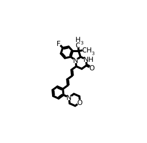 CC1(C)c2cc(F)ccc2N2C(C=CC=Cc3ccccc3N3CCOCC3)CC(=O)NC21